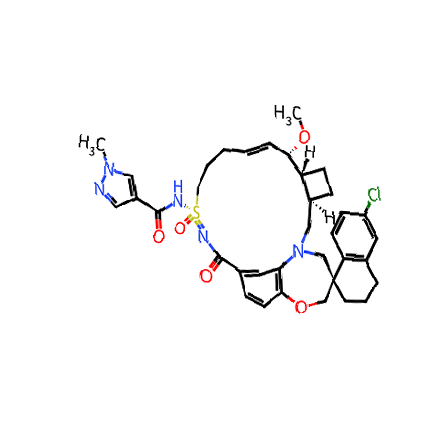 CO[C@H]1/C=C/CCC[S@@](=O)(NC(=O)c2cnn(C)c2)=NC(=O)c2ccc3c(c2)N(C[C@@H]2CC[C@H]21)C[C@@]1(CCCc2cc(Cl)ccc21)CO3